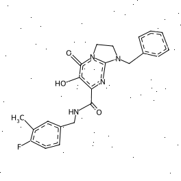 Cc1cc(CNC(=O)c2nc3n(c(=O)c2O)CCN3Cc2ccccc2)ccc1F